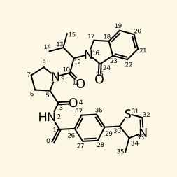 C=C(NC(=O)C1CCCN1C(=O)C(C(C)C)N1Cc2ccccc2C1=O)c1ccc(C2SC=NC2C)cc1